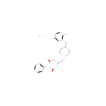 COc1ccc(Br)c(CC2CCN(CC3CC(=O)N(c4ccccc4)C(=O)N3C)CC2)c1